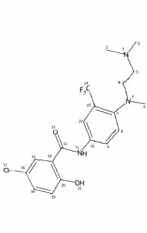 CN(C)CCN(C)c1ccc(NC(=O)c2cc(Cl)ccc2O)cc1C(F)(F)F